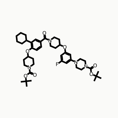 CC(C)(C)OC(=O)N1CCC(Oc2ccc(C(=O)N3CCC(Oc4cc(F)cc(N5CCN(C(=O)OC(C)(C)C)CC5)c4)CC3)cc2C2CCCCC2)CC1